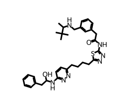 CC(NCc1cccc(CC(=O)Nc2nnc(CCCCc3ccc(NC(O)Cc4ccccc4)nn3)s2)c1)C(C)(C)C